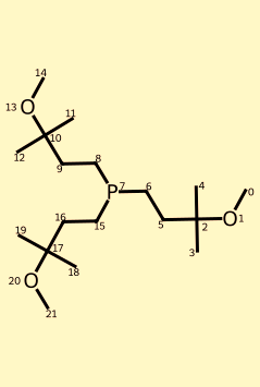 COC(C)(C)CCP(CCC(C)(C)OC)CCC(C)(C)OC